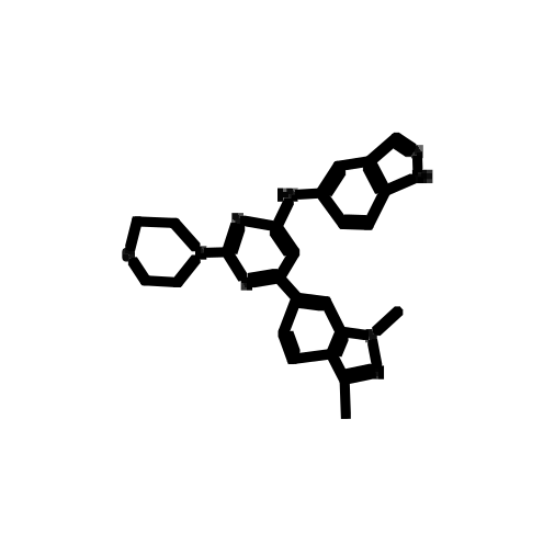 Cc1nn(C)c2cc(-c3cc(Nc4ccc5[nH]ncc5c4)nc(N4CCOCC4)n3)ccc12